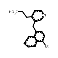 CCc1ccc(Cc2cnccc2CCC(=O)O)c2ccccc12